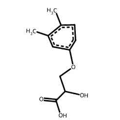 Cc1ccc(OCC(O)C(=O)O)cc1C